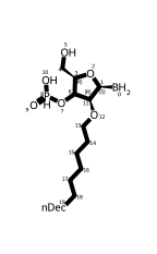 B[C@@H]1O[C@H](CO)C(O[PH](=O)O)[C@@H]1OCCCCCCCCCCCCCCCC